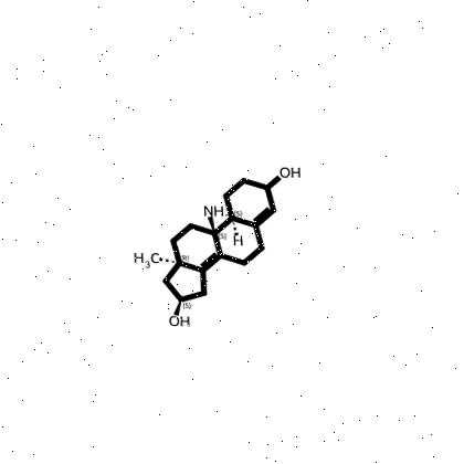 C[C@]12CC[C@@]3(N)C(=C1C[C@@H](O)C2)CCC1=CC(O)CC[C@@H]13